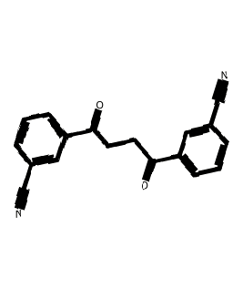 N#Cc1cccc(C(=O)CCC(=O)c2cccc(C#N)c2)c1